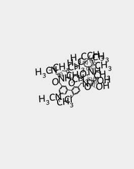 COc1c(CN2O[C@@H](CO)[C@@H]([C@H](C)O)[C@H]2C(=O)N[C@H]2C[C@@H](C)C(C)(C)[C@@H](C)[C@@H]2C)ccc(Cl)c1-c1cc(C(=O)N[C@@H](CC(C)C)CN(C)C)cc(N(C)C)c1